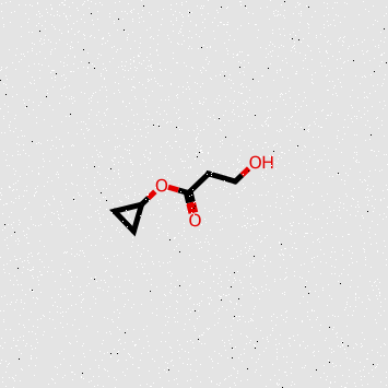 O=C(CCO)OC1CC1